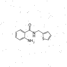 Nc1ccccc1C(=O)NCc1cccs1